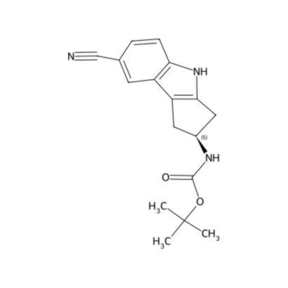 CC(C)(C)OC(=O)N[C@@H]1Cc2[nH]c3ccc(C#N)cc3c2C1